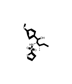 CC[C@H](C)[C@H](NS(=O)(=O)c1cccs1)C(O)c1ccc(SC)cc1